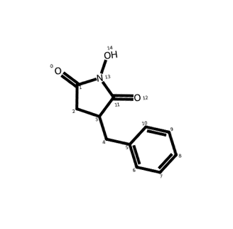 O=C1CC(Cc2ccccc2)C(=O)N1O